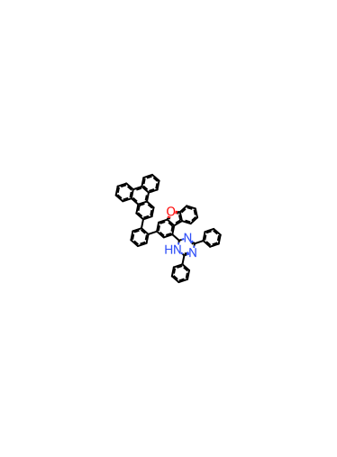 c1ccc(C2=NC(c3cc(-c4ccccc4-c4ccc5c6ccccc6c6ccccc6c5c4)cc4oc5ccccc5c34)NC(c3ccccc3)=N2)cc1